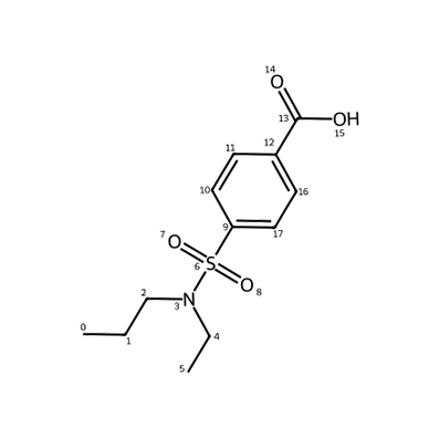 CCCN(CC)S(=O)(=O)c1ccc(C(=O)O)cc1